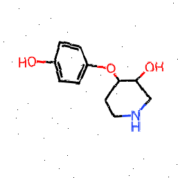 Oc1ccc(OC2CCNCC2O)cc1